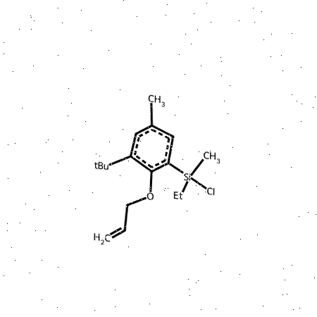 C=CCOc1c(C(C)(C)C)cc(C)cc1[Si](C)(Cl)CC